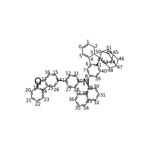 C1=CCC2C(=C1)c1cc(N(c3ccc(-c4ccc5oc6ccccc6c5c4)cc3)c3cccc4ccccc34)ccc1C21C2CC3CC(C2)CC1C3